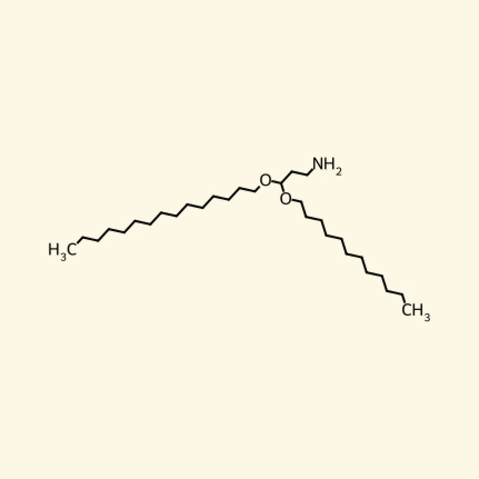 CCCCCCCCCCCCCCCOC(CCN)OCCCCCCCCCCCC